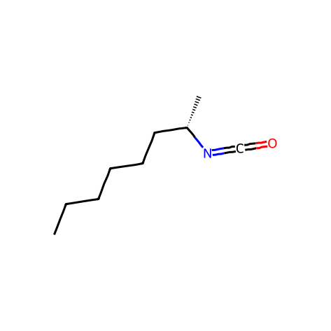 CCCCCC[C@H](C)N=C=O